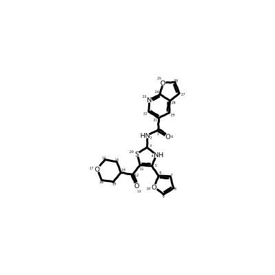 O=C(NC1NC(c2ccco2)=C(C(=O)C2CCOCC2)S1)c1cnc2occc2c1